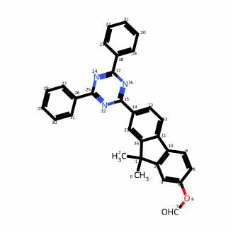 CC1(C)c2cc(OC=O)ccc2-c2ccc(-c3nc(-c4ccccc4)nc(-c4ccccc4)n3)cc21